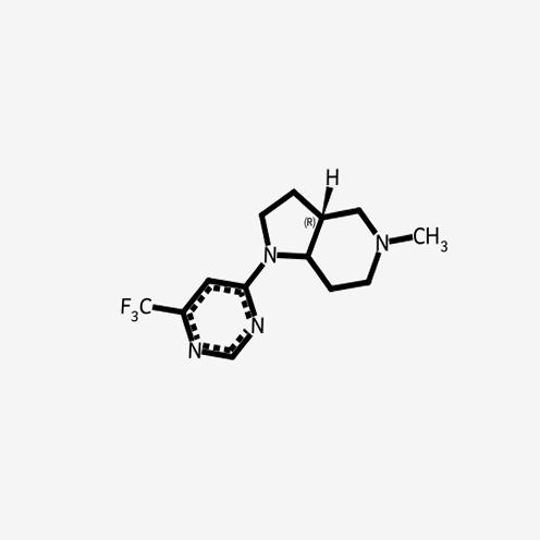 CN1CCC2[C@H](CCN2c2cc(C(F)(F)F)ncn2)C1